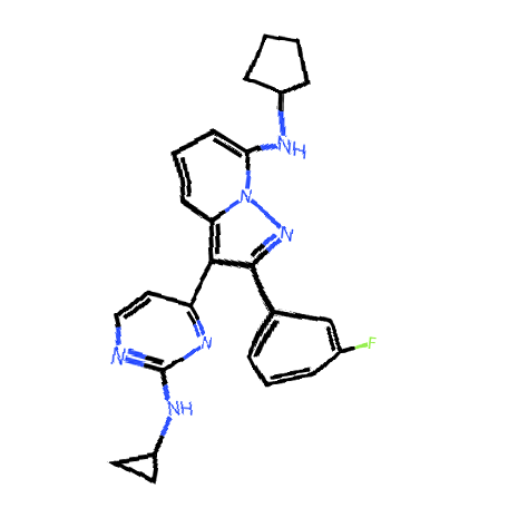 Fc1cccc(-c2nn3c(NC4CCCC4)cccc3c2-c2ccnc(NC3CC3)n2)c1